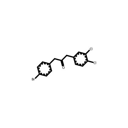 O=C(Cc1ccc(Br)cc1)Cc1ccc(Cl)c(Cl)c1